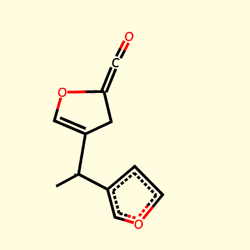 C[C](C1=COC(=C=O)C1)c1ccoc1